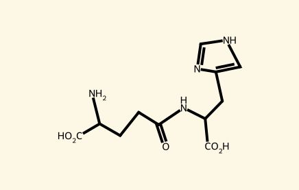 NC(CCC(=O)NC(Cc1c[nH]cn1)C(=O)O)C(=O)O